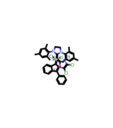 CCn1c(Cl)c(Cl)n(CC)[c]1=[Ru-6]([Cl])([Cl])(=[C]1C=C(c2ccccc2)c2ccccc21)=[C]1N(c2c(C)cc(C)cc2C)CCN1c1c(C)cc(C)cc1C